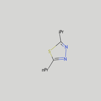 CCCc1nnc(C(C)C)s1